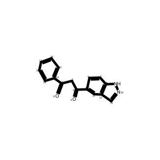 O=C(CC(=O)c1ccc2[nH]ncc2c1)c1ccccc1